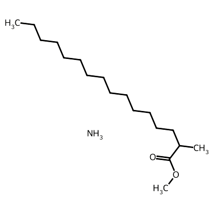 CCCCCCCCCCCCCCC(C)C(=O)OC.N